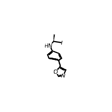 C[C@@H](I)Nc1ccc(-c2cnco2)cc1